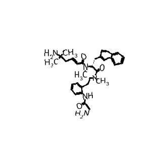 CN(CCc1ccccc1NC(=O)CN)C(=O)[C@@H](Cc1ccc2ccccc2c1)N(C)C(=O)C=CCC(C)(C)N